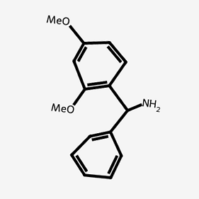 COc1ccc(C(N)c2ccccc2)c(OC)c1